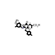 Cc1ccc(Cn2c(=O)n([C@H](C)[C@H](C)C(=O)O)c(=O)[nH]/c2=N\c2ccc(OC(C)C)c(C)c2)cc1